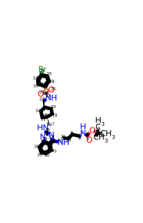 CC(C)(C)OC(=O)NCCCCNc1nc(NC[C@H]2CC[C@H](CNS(=O)(=O)c3ccc(Br)cc3)CC2)nc2ccccc12